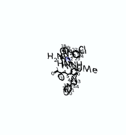 C=CC(=O)CCc1cc(NC(=N)/C=C(\NN)N2OCC[C@@H]2c2cccc(Cl)c2)c(OC)cc1N1CCC(N2CCOCC2)C1